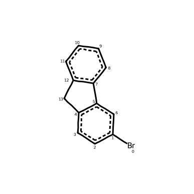 Brc1ccc2c(c1)-c1ccccc1C2